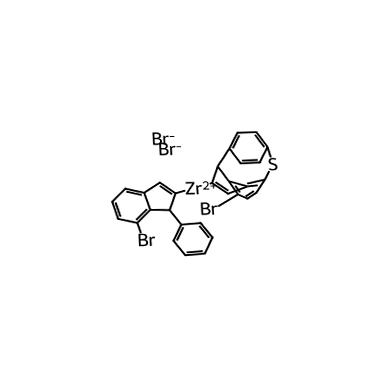 Brc1cccc2c1C(c1ccccc1)[C]([Zr+2][C]1=Cc3c4ccc(Br)c3C1c1ccc(cc1)S4)=C2.[Br-].[Br-]